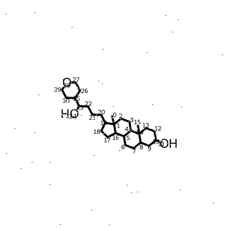 CC12CCC3C(CCC4CC(O)CCC43C)C1CCC2CCCC(O)C1CCOCC1